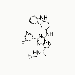 CC(NCC1CC1)c1cnn2c(N[C@@H]3CCc4[nH]c5ccccc5c4C3)nc(-c3cncc(F)c3)nc12